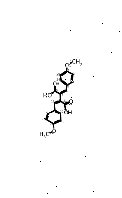 COc1ccc(C=C(C(=O)O)C(=Cc2ccc(OC)cc2)C(=O)O)cc1